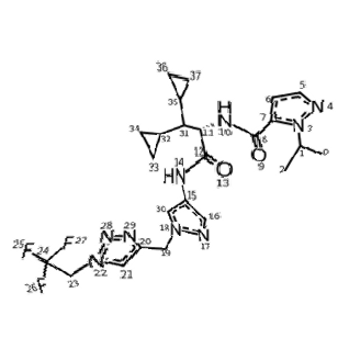 CC(C)n1nccc1C(=O)N[C@H](C(=O)Nc1cnn(Cc2cn(CC(F)(F)F)nn2)c1)C(C1CC1)C1CC1